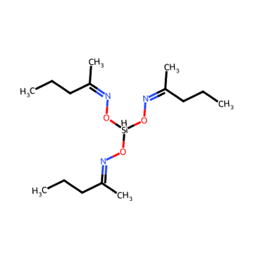 CCCC(C)=NO[SiH](ON=C(C)CCC)ON=C(C)CCC